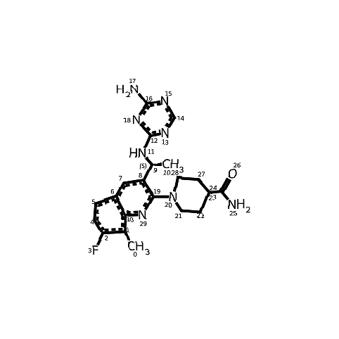 Cc1c(F)ccc2cc([C@H](C)Nc3ncnc(N)n3)c(N3CCC(C(N)=O)CC3)nc12